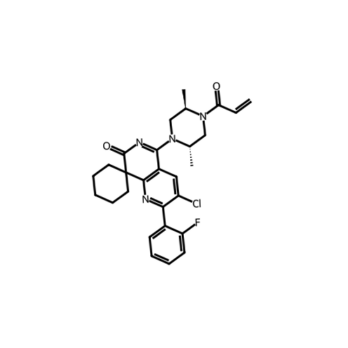 C=CC(=O)N1C[C@H](C)N(C2=NC(=O)C3(CCCCC3)c3nc(-c4ccccc4F)c(Cl)cc32)C[C@H]1C